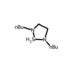 CCCCN1CCN(CCCC)[SiH2]1